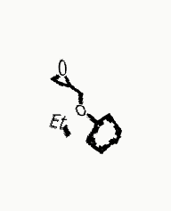 CCC.c1ccc(OCC2CO2)cc1